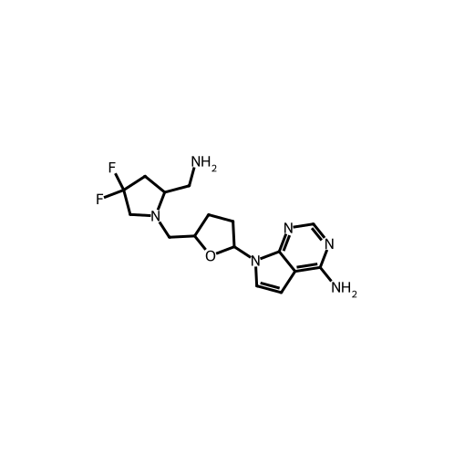 NCC1CC(F)(F)CN1CC1CCC(n2ccc3c(N)ncnc32)O1